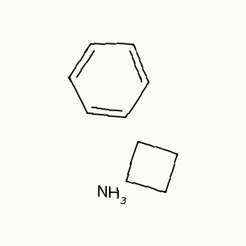 C1CCC1.N.c1ccccc1